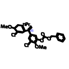 CCC/C=C(\C1=CCC(OC)C(Cl)=C1)c1cc(Cl)c(OC)c(OC(=O)OCc2ccccc2)c1